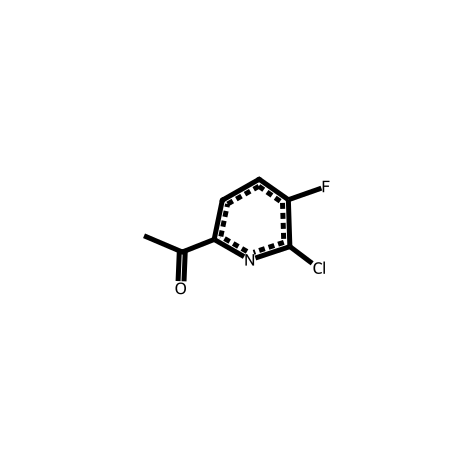 CC(=O)c1ccc(F)c(Cl)n1